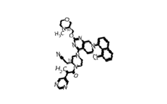 C=C(C(=O)N1CCN(c2nc(OC[C@@H]3COCCN3C)nc3c2CCN(c2cccc4cccc(Cl)c24)C3)C[C@@H]1CC#N)c1cncnc1